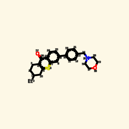 CCC1CCc2c(sc3cc(-c4ccc(CN5CCOCC5)cc4)ccc3c2=O)C1